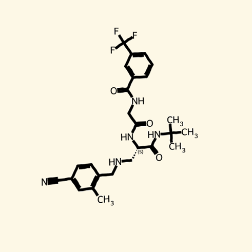 Cc1cc(C#N)ccc1CNC[C@H](NC(=O)CNC(=O)c1cccc(C(F)(F)F)c1)C(=O)NC(C)(C)C